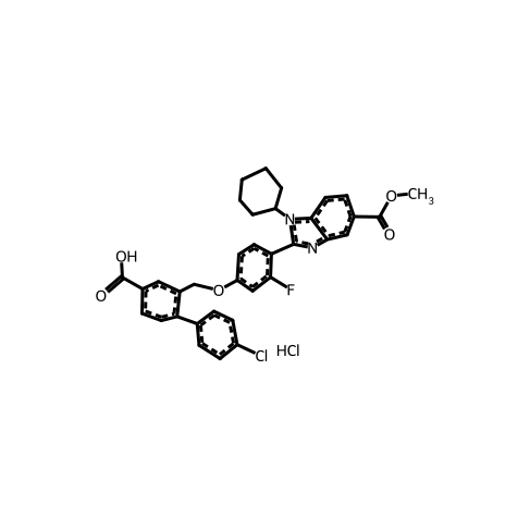 COC(=O)c1ccc2c(c1)nc(-c1ccc(OCc3cc(C(=O)O)ccc3-c3ccc(Cl)cc3)cc1F)n2C1CCCCC1.Cl